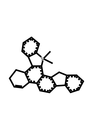 C[Si]1(C)c2ccccc2-c2c3c(c4ccc5c(c4c21)Cc1ccccc1-5)C=CCC3